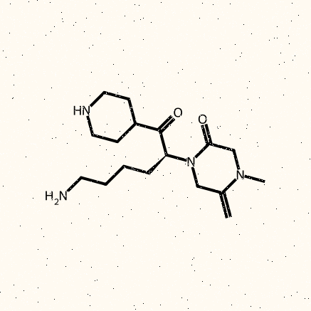 C=C1CN([C@@H](CCCCN)C(=O)C2CCNCC2)C(=O)CN1C